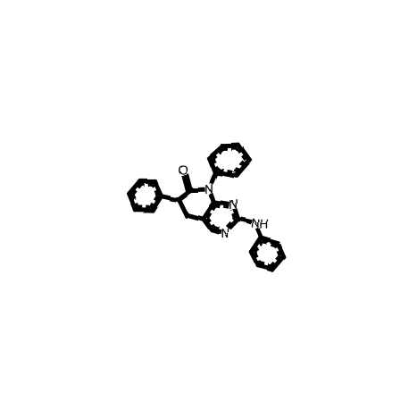 O=C1C(c2ccccc2)Cc2cnc(Nc3ccccc3)nc2N1c1ccccc1